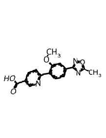 COc1cc(-c2noc(C)n2)ccc1-c1ccc(C(=O)O)cn1